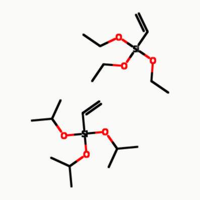 C=C[Si](OC(C)C)(OC(C)C)OC(C)C.C=C[Si](OCC)(OCC)OCC